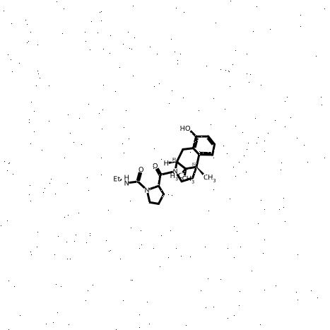 CCNC(=O)N1CCCC1C(=O)N1CC[C@@]2(C)c3cccc(O)c3C[C@@H]1C2(C)C